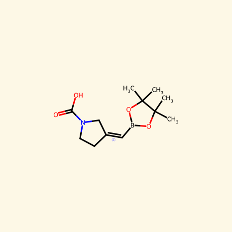 CC1(C)OB(/C=C2/CCN(C(=O)O)C2)OC1(C)C